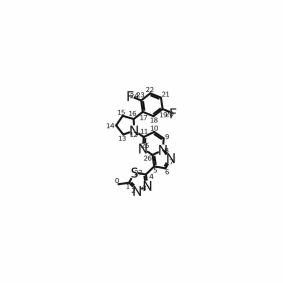 Cc1nnc(-c2cnn3ccc(N4CCCC4c4cc(F)ccc4F)nc23)s1